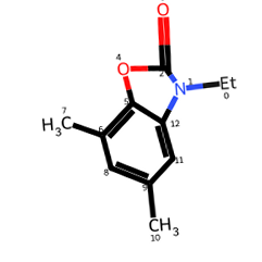 CCn1c(=O)oc2c(C)cc(C)cc21